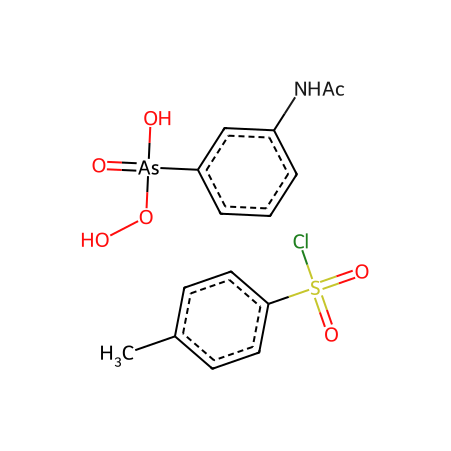 CC(=O)Nc1cccc([As](=O)(O)OO)c1.Cc1ccc(S(=O)(=O)Cl)cc1